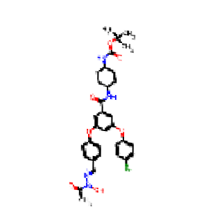 CC(=O)N(O)/N=C/c1ccc(Oc2cc(Oc3ccc(Br)cc3)cc(C(=O)NC3CCC(NC(=O)OC(C)(C)C)CC3)c2)cc1